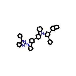 c1ccc(-c2cc(-c3ccc4ccccc4c3)cc(-n3c4ccccc4c4cc(-c5ccc6c(c5)c5ccccc5n6-c5nc(-c6ccccc6)c6ccccc6n5)ccc43)c2)cc1